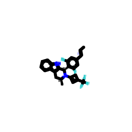 C/C=C/c1cc(F)c([C@H]2c3[nH]c4ccccc4c3C[C@H](C)N2C23CC(C(F)(F)F)(C2)C3)c(F)c1